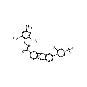 Cc1cc(N)nc(C)c1CNC(=O)c1ccc2c(c1)C1OC2c2ccc(-c3ccc(C(F)(F)F)cc3F)cc21